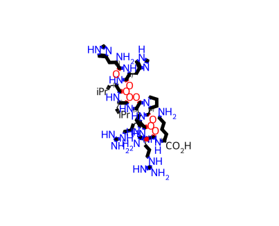 CC(C)C[C@H](NC(=O)[C@H](Cc1c[nH]cn1)NC(=O)[C@@H](N)Cc1c[nH]cn1)C(=O)N[C@@H](CC(C)C)C(=O)N[C@@H](CCCNC(=N)N)C(=O)N1CCC[C@H]1C(=O)N[C@@H](CCCNC(=N)N)C(=O)N[C@@H](CCCNC(=N)N)C(=O)N[C@@H](CCCCN)C(=O)O